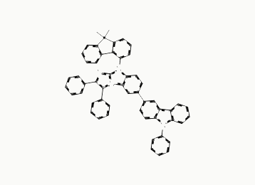 CC1(C)c2ccccc2-c2c(-n3c4ccc(-c5ccc6c(c5)c5ccccc5n6-c5ccccc5)cc4n4c(-c5ccccc5)c(-c5ccccc5)nc34)cccc21